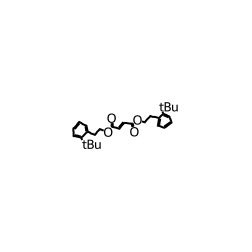 CC(C)(C)c1ccccc1CCOC(=O)/C=C/C(=O)OCCc1ccccc1C(C)(C)C